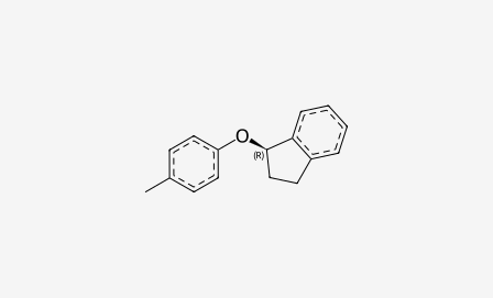 Cc1ccc(O[C@@H]2CCc3ccccc32)cc1